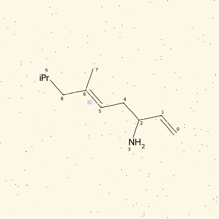 C=CC(N)C/C=C(\C)CC(C)C